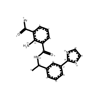 CC(C)C(=O)c1cccc(C(=O)NC(C)c2cccc(-c3nccs3)c2)c1N